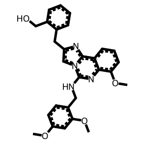 COc1ccc(CNc2nc3c(OC)cccc3c3nc(Cc4ccccc4CO)cn23)c(OC)c1